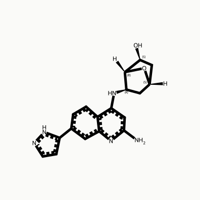 Nc1cc(N[C@@H]2C[C@H]3C[C@H](O)[C@@H]2O3)c2ccc(-c3ccn[nH]3)cc2n1